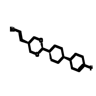 CC/C=C/[C@H]1CO[C@H]([C@H]2CC[C@H](C3CC=C(F)CC3)CC2)OC1